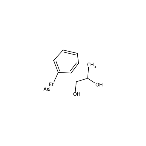 CC(O)CO.CCc1ccccc1.[As]